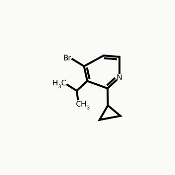 CC(C)c1c(Br)ccnc1C1CC1